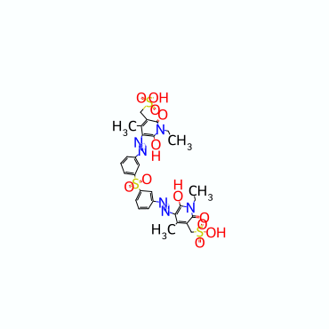 CCn1c(O)c(/N=N/c2cccc(S(=O)(=O)c3cccc(/N=N/c4c(C)c(CS(=O)(=O)O)c(=O)n(CC)c4O)c3)c2)c(C)c(CS(=O)(=O)O)c1=O